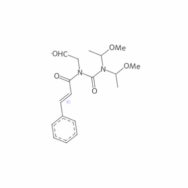 COC(C)N(C(=O)N(C[C]=O)C(=O)/C=C/c1ccccc1)C(C)OC